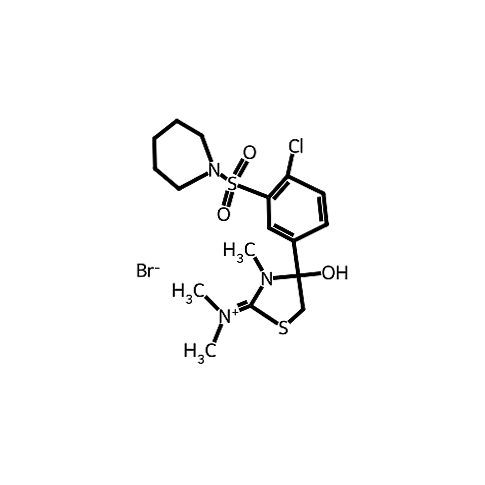 CN1C(=[N+](C)C)SCC1(O)c1ccc(Cl)c(S(=O)(=O)N2CCCCC2)c1.[Br-]